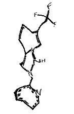 FC(F)(F)C1=CN2NN(c3ccccn3)C=C2C=C1